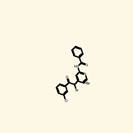 Br.O=C(Nc1cc(C(Br)C(=O)c2cccc(Cl)c2)ccn1)c1ccccc1